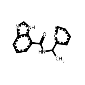 CC(NC(=O)c1cccc2nc[nH]c12)c1ccccc1